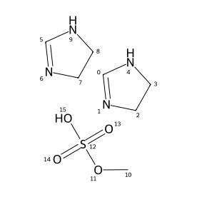 C1=NCCN1.C1=NCCN1.COS(=O)(=O)O